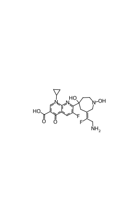 NC/C(F)=C1\CN(O)CCC(O)(c2nc3c(cc2F)c(=O)c(C(=O)O)cn3C2CC2)C1